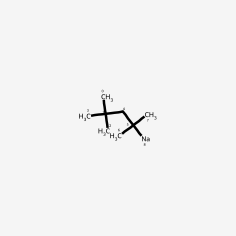 CC(C)(C)C[C](C)(C)[Na]